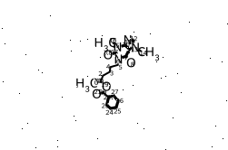 C[C@H](CCCCn1c(=O)c2c(ncn2C)n(C)c1=O)OC(=O)c1ccccc1